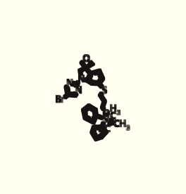 CC(C)(C)[Si](OCCCSc1ccc2c(c1)N(c1ncc(Br)cn1)CC21COC1)(c1ccccc1)c1ccccc1